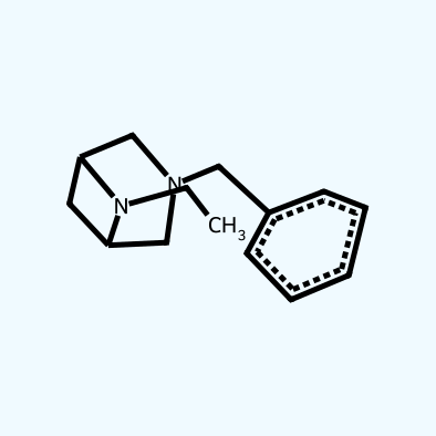 CCN1C2CC1CN(Cc1ccccc1)C2